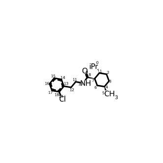 CC(C)[C@@H]1CC[C@@H](C)C[C@H]1C(=O)NCCc1ccccc1Cl